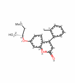 COC[C@H](Oc1ccc2c(-c3ccccc3C)cc(=O)oc2c1)C(=O)O